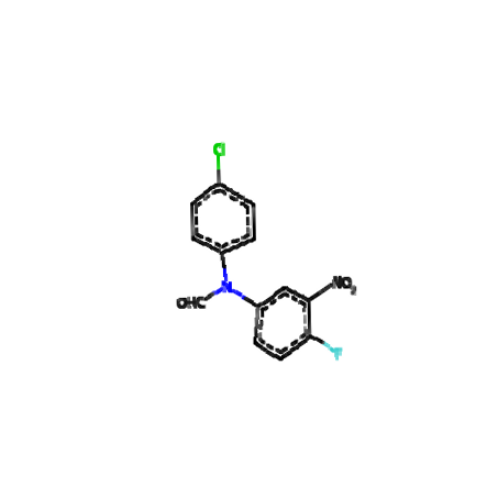 O=CN(c1ccc(Cl)cc1)c1ccc(F)c([N+](=O)[O-])c1